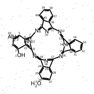 O.Oc1cccc2c3nc4nc(nc5[nH]c(nc6nc(nc([nH]3)c12)-c1ccccc1-6)c1ccccc51)-c1ccccc1-4.[AlH3]